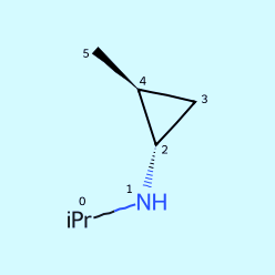 CC(C)N[C@H]1C[C@@H]1C